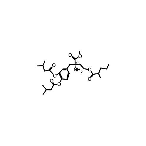 CCCC(C)C(=O)OCC[C@@](N)(Cc1ccc(OC(=O)CC(C)C)c(OC(=O)CC(C)C)c1)C(=O)OC